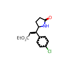 CCOC(=O)/C=C(\c1ccc(Cl)cc1)C1CCC(=O)N1